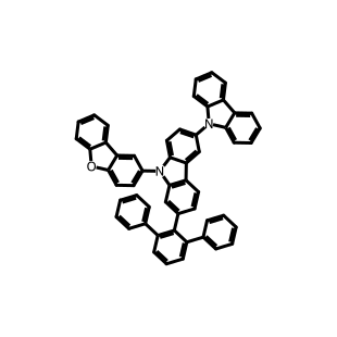 c1ccc(-c2cccc(-c3ccccc3)c2-c2ccc3c4cc(-n5c6ccccc6c6ccccc65)ccc4n(-c4ccc5oc6ccccc6c5c4)c3c2)cc1